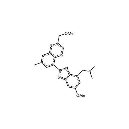 COCc1cnc2c(-c3nc4c(CN(C)C)cc(OC)cc4s3)cc(C)cc2n1